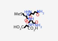 CSCC[C@@H](NC(=O)[C@@H](N)CCC(N)=O)C(=O)N[C@@H](CCC(N)=O)C(=O)N[C@@H](CCC(=O)O)C(=O)O